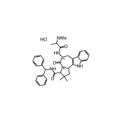 CNC(C)C(=O)N[C@H]1Cc2c([nH]c3ccccc23)C2CC(C)(C)C(C(=O)NC(c3ccccc3)c3ccccc3)N2C1=O.Cl